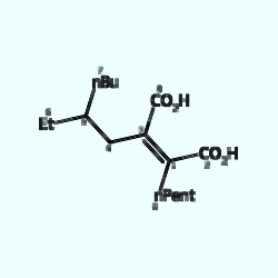 CCCCC/C(C(=O)O)=C(\CC(CC)CCCC)C(=O)O